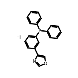 I.c1ccc(P(c2ccccc2)c2cccc(-c3cocn3)c2)cc1